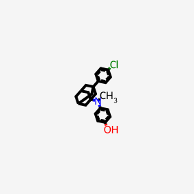 CN(c1ccc(O)cc1)C12CC3CC(CC(c4ccc(Cl)cc4)(C3)C1)C2